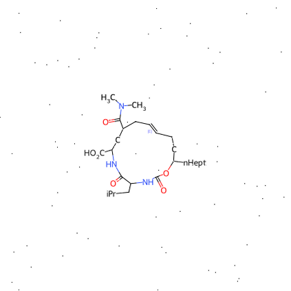 CCCCCCCC1CC/C=C/CC(C(=O)N(C)C)CC(C(=O)O)NC(=O)C(CC(C)C)NC(=O)O1